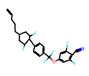 C=CCCCC1CC(F)C(c2ccc(C(F)(F)Oc3cc(F)c(C#N)c(F)c3)cc2)C(F)C1